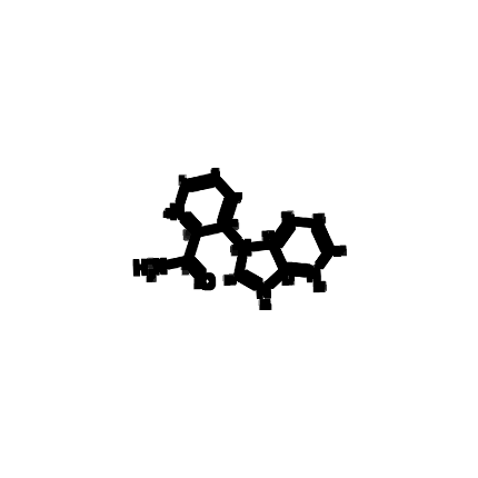 NC(=O)c1ncccc1-n1cnc2ncccc21